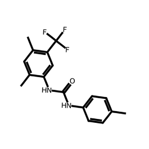 Cc1ccc(NC(=O)Nc2cc(C(F)(F)F)c(C)cc2C)cc1